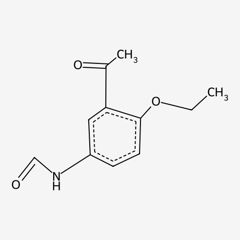 CCOc1ccc(NC=O)cc1C(C)=O